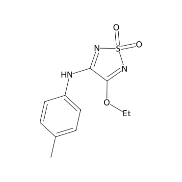 CCOC1=NS(=O)(=O)N=C1Nc1ccc(C)cc1